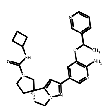 CC(Oc1cc(-c2cc3n(n2)CC[C@@]32CCN(C(=O)NC3CCC3)C2)cnc1N)c1cccnc1